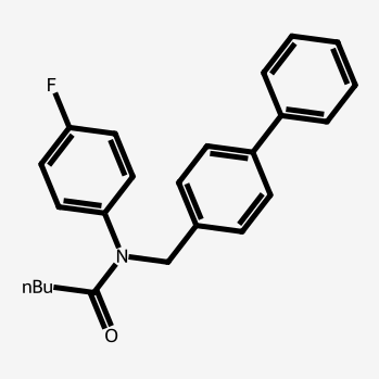 CCCCC(=O)N(Cc1ccc(-c2ccccc2)cc1)c1ccc(F)cc1